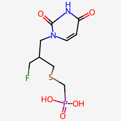 O=c1ccn(CC(CF)CSCP(=O)(O)O)c(=O)[nH]1